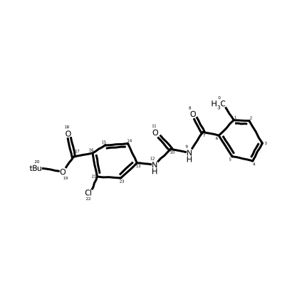 Cc1ccccc1C(=O)NC(=O)Nc1ccc(C(=O)OC(C)(C)C)c(Cl)c1